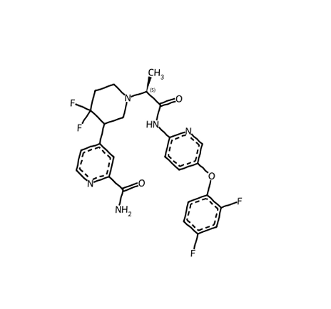 C[C@@H](C(=O)Nc1ccc(Oc2ccc(F)cc2F)cn1)N1CCC(F)(F)C(c2ccnc(C(N)=O)c2)C1